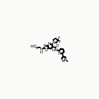 Cn1cc(-c2cccc(NC(=O)c3cc4oc(NCCO)nc4nc3N3CCC(F)(F)C3)n2)cn1